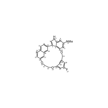 CNc1nc2c3c(c[nH]c3n1)-c1ccc3ncc(cc3c1)OCCOc1cc(F)cc(c1)CO2